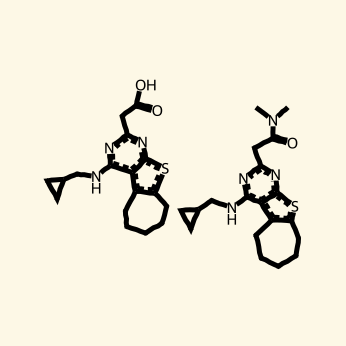 CN(C)C(=O)Cc1nc(NCC2CC2)c2c3c(sc2n1)CCCCC3.O=C(O)Cc1nc(NCC2CC2)c2c3c(sc2n1)CCCCC3